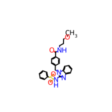 COCCCNC(=O)c1ccc(Cn2c(NS(=O)(=O)c3ccccc3)nc3ccccc32)cc1